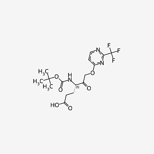 CC(C)(C)OC(=O)N[C@@H](CCC(=O)O)C(=O)COc1ccnc(C(F)(F)F)n1